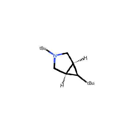 CC(C)(C)C1[C@H]2CN(C(C)(C)C)C[C@@H]12